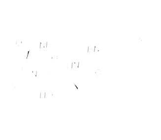 Cc1ccccc1CNC(=O)[C@H]1N(C(=O)[C@@H](O)[C@H](Cc2ccccc2)NC(=O)NCCc2cccs2)CSC1(C)C